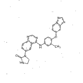 Cc1cc(Nc2ncnc3ccc(N4CCNC4=O)cc23)ccc1Oc1ccn2ncnc2c1